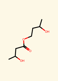 CC(O)CCOC(=O)CC(C)O